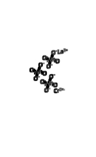 [Cr+3].[La+3].[O]=[Mn](=[O])([O-])[O-].[O]=[Mn](=[O])([O-])[O-].[O]=[Mn](=[O])([O-])[O-]